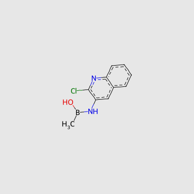 CB(O)Nc1cc2ccccc2nc1Cl